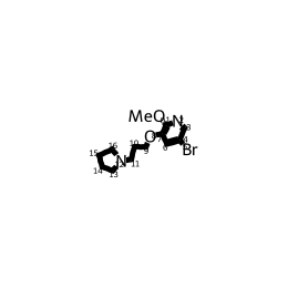 COc1ncc(Br)cc1OCCCN1CCCC1